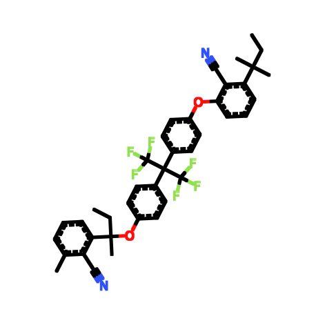 CCC(C)(C)c1cccc(Oc2ccc(C(c3ccc(OC(C)(CC)c4cccc(C)c4C#N)cc3)(C(F)(F)F)C(F)(F)F)cc2)c1C#N